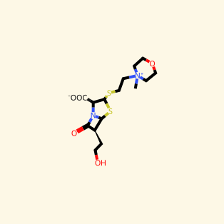 C[N+]1(CCSC2SC3[C@@H](CCO)C(=O)N3C2C(=O)[O-])CCOCC1